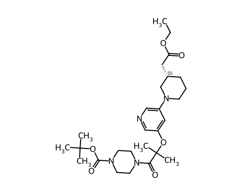 CCOC(=O)C[C@@H]1CCCN(c2cncc(OC(C)(C)C(=O)N3CCN(C(=O)OC(C)(C)C)CC3)c2)C1